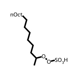 CCCCCCCCCCCCCCC(C)OOS(=O)(=O)O